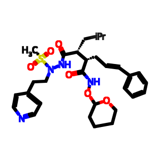 CC(C)C[C@@H](C(=O)NN(CCc1ccncc1)S(C)(=O)=O)[C@H](CC=Cc1ccccc1)C(=O)NOC1CCCCO1